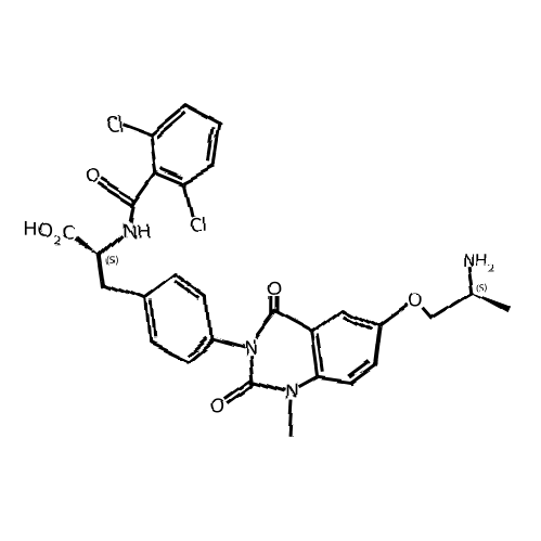 C[C@H](N)COc1ccc2c(c1)c(=O)n(-c1ccc(C[C@H](NC(=O)c3c(Cl)cccc3Cl)C(=O)O)cc1)c(=O)n2C